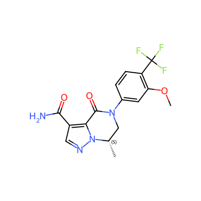 COc1cc(N2C[C@H](C)n3ncc(C(N)=O)c3C2=O)ccc1C(F)(F)F